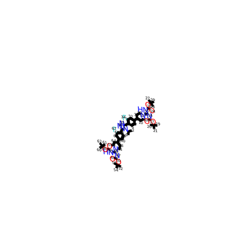 CC(C)n1c(-c2ccc(C3=CCN(/C(=N\C(=O)OC(C)(C)C)NC(=O)OC(C)(C)C)CC3)cc2F)nnc1-c1ccc(C2=CCN(/C(=N/C(=O)OC(C)(C)C)NC(=O)OC(C)(C)C)CC2)cc1F